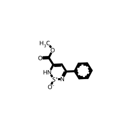 COC(=O)C1=CC(c2ccccc2)=N[S+]([O-])N1